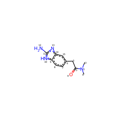 CN(C)C(=O)Cc1ccc2[nH]c(N)nc2c1